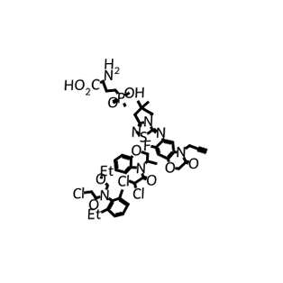 C#CCN1C(=O)COc2cc(F)c(/N=c3\snc4n3CC(C)(C)C4)cc21.CC1COc2ccccc2N1C(=O)C(Cl)Cl.CCOCN(C(=O)CCl)c1c(C)cccc1CC.CP(=O)(O)CCC(N)C(=O)O